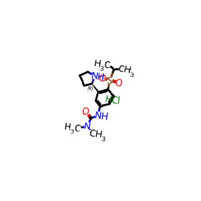 CC(C)S(=O)(=O)c1ccc(NC(=O)N(C)C)cc1[C@H]1CCCN1.Cl